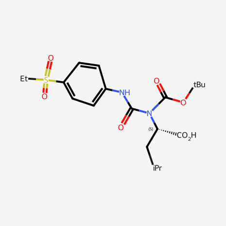 CCS(=O)(=O)c1ccc(NC(=O)N(C(=O)OC(C)(C)C)[C@@H](CC(C)C)C(=O)O)cc1